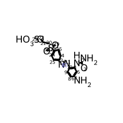 NC(=O)Nc1cc(N)ccc1/N=N/c1ccc(S(=O)(=O)CCOS(=O)(=O)O)cc1